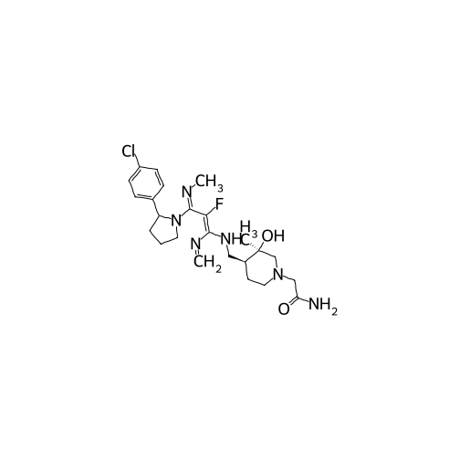 C=N/C(NC[C@@H]1CCN(CC(N)=O)C[C@]1(C)O)=C(F)\C(=N/C)N1CCCC1c1ccc(Cl)cc1